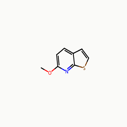 COc1ccc2ccsc2n1